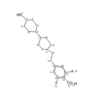 CCCC1CCC(C2CCC(CCc3cc(F)c(C(=O)O)c(F)c3)CC2)CC1